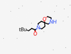 CC(C)(C)CCC(=O)N1CCC2(CC1)CNCCO2